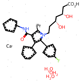 CC(C)c1c(C(=O)Nc2ccccc2)c(-c2ccccc2)c(-c2ccc(F)cc2)n1CC[C@@H](O)C[C@@H](O)CC(=O)O.O.O.O.[Ca]